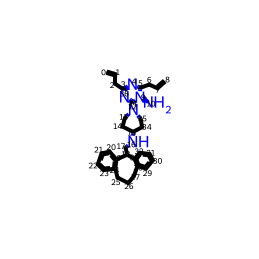 C=CCC1=NC(CC=C)N(N)C(N2CCC(NCC3c4ccccc4CCCc4ccccc43)CC2)=N1